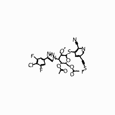 COC1C(Sc2cc(C#CSI)cnc2C#N)OC(COC(C)=O)C(OC(C)=O)C1n1cc(-c2cc(F)c(Cl)c(F)c2)nn1